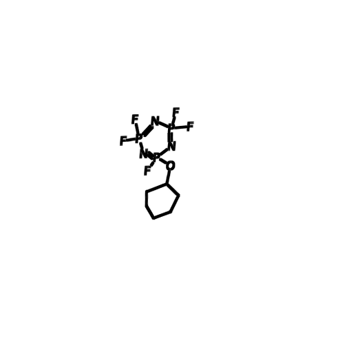 FP1(F)=NP(F)(F)=NP(F)(OC2CCCCC2)=N1